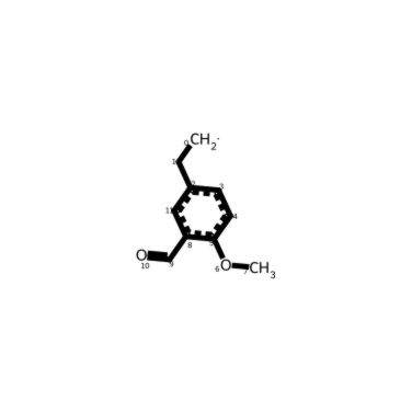 [CH2]Cc1ccc(OC)c(C=O)c1